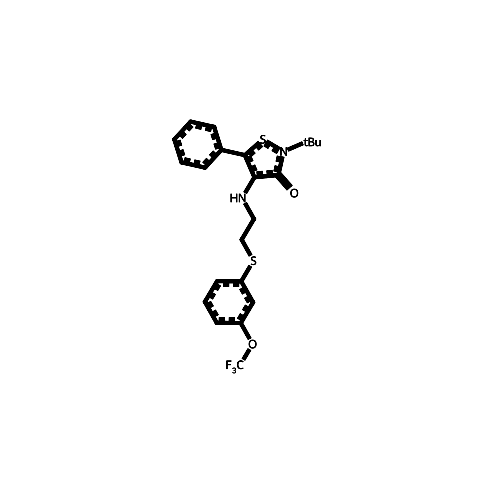 CC(C)(C)n1sc(-c2ccccc2)c(NCCSc2cccc(OC(F)(F)F)c2)c1=O